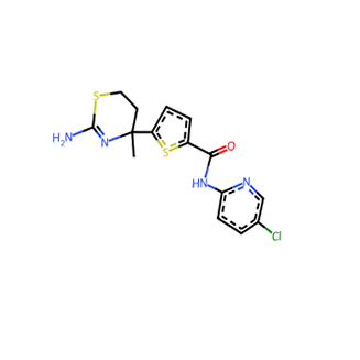 CC1(c2ccc(C(=O)Nc3ccc(Cl)cn3)s2)CCSC(N)=N1